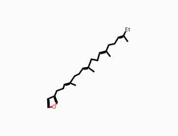 CC/C(C)=C/CC/C(C)=C/CC/C(C)=C/CC/C(C)=C/CCc1ccoc1